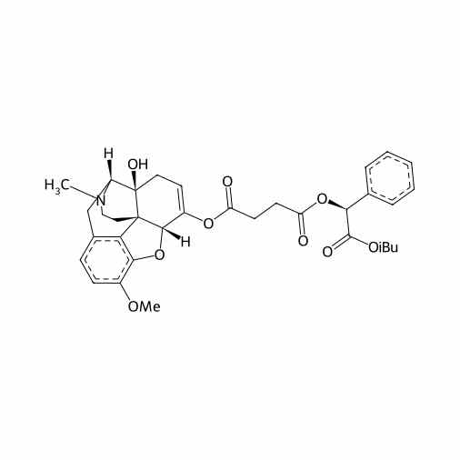 COc1ccc2c3c1O[C@H]1C(OC(=O)CCC(=O)O[C@H](C(=O)OCC(C)C)c4ccccc4)=CC[C@@]4(O)[C@@H](C2)N(C)CC[C@]314